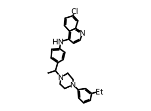 CCc1cccc(N2CCN(C(C)c3ccc(Nc4ccnc5cc(Cl)ccc45)cc3)CC2)c1